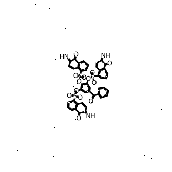 N=C1C=Cc2c(cccc2S(=O)(=O)Oc2cc(C(=O)c3ccccc3)cc(OS(=O)(=O)c3cccc4c3C=CC(=N)C4=O)c2OS(=O)(=O)c2cccc3c2C=CC(=N)C3=O)C1=O